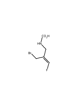 O=C(O)NC/C(=C/F)CBr